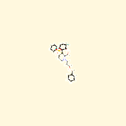 O=S(=O)(c1ccccc1)C12CCCN(CCCOCc3ccccc3)C1COc1c(F)ccc(F)c12